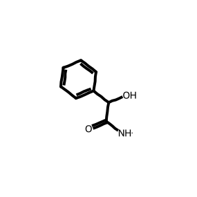 [NH]C(=O)C(O)c1ccccc1